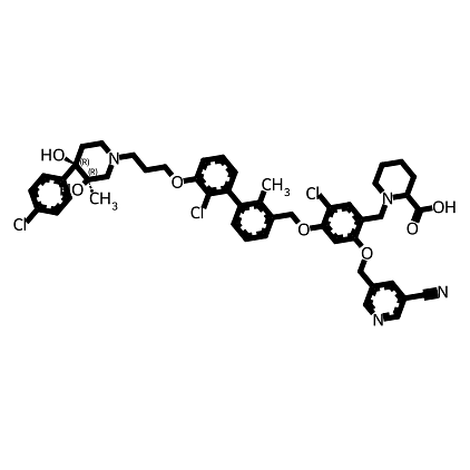 Cc1c(COc2cc(OCc3cncc(C#N)c3)c(CN3CCCCC3C(=O)O)cc2Cl)cccc1-c1cccc(OCCCN2CC[C@@](O)(c3ccc(Cl)cc3)[C@](C)(O)C2)c1Cl